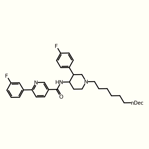 CCCCCCCCCCCCCCCCN1CCC(NC(=O)c2ccc(-c3cccc(F)c3)nc2)C(c2ccc(F)cc2)C1